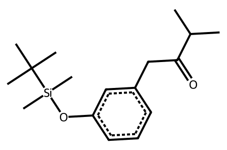 CC(C)C(=O)Cc1cccc(O[Si](C)(C)C(C)(C)C)c1